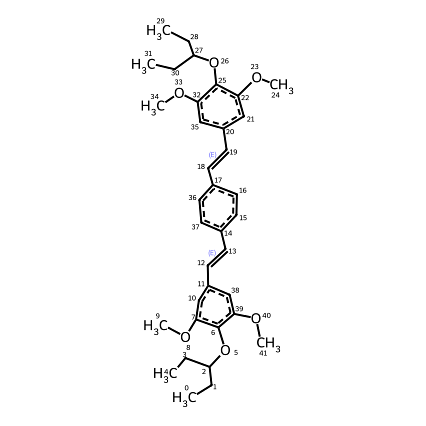 CCC(CC)Oc1c(OC)cc(/C=C/c2ccc(/C=C/c3cc(OC)c(OC(CC)CC)c(OC)c3)cc2)cc1OC